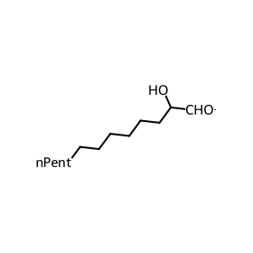 CCCCCCCCCCCC(O)[C]=O